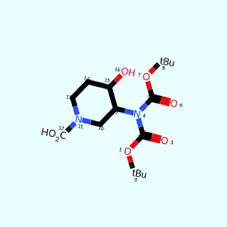 CC(C)(C)OC(=O)N(C(=O)OC(C)(C)C)C1CN(C(=O)O)CCC1O